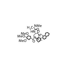 CN[C@@H](C)C(=O)N[C@H]1CN(C(=O)c2cc(OC)c(OC)c(OC)c2)c2ccccc2N(Cc2c(C)ccc3ccccc23)C1=O